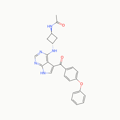 CC(=O)N[C@H]1C[C@H](Nc2ncnc3[nH]cc(C(=O)c4ccc(Oc5ccccc5)cc4)c23)C1